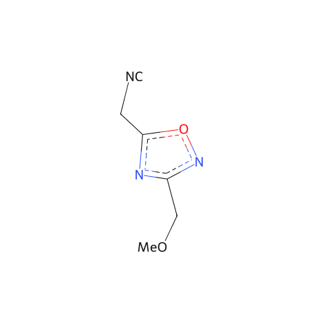 [C-]#[N+]Cc1nc(COC)no1